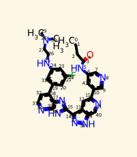 CCCC(=O)Nc1cncc(-c2cc3c(-c4nc5c(-c6cc(F)cc(NCCN(C)C)c6)ccnc5[nH]4)n[nH]c3cn2)c1